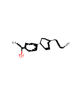 CCC/C=C/[C@H]1CC[C@H](c2ccc(C(O)CC)cc2)CC1